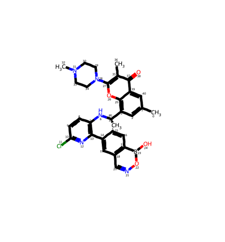 Cc1cc([C@@H](C)Nc2ccc(Cl)nc2-c2ccc3c(c2)C=NOB3O)c2oc(N3CCN(C)CC3)c(C)c(=O)c2c1